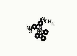 Cn1ncc2cc(-c3ccc([N+](=O)[O-])cc3-c3nnn(C(c4ccccc4)(c4ccccc4)c4ccccc4)n3)ccc21